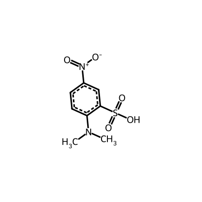 CN(C)c1ccc([N+](=O)[O-])cc1S(=O)(=O)O